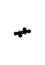 O=C(OC1CCC(OC(=O)N(Cc2ccccc2)Cc2ccccc2)CC1)N(Cc1ccccc1)Cc1ccccc1